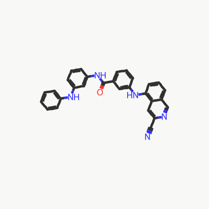 N#Cc1cc2c(Nc3cccc(C(=O)Nc4cccc(Nc5ccccc5)c4)c3)cccc2cn1